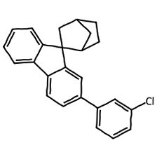 Clc1cccc(-c2ccc3c(c2)C2(CC4CCC2C4)c2ccccc2-3)c1